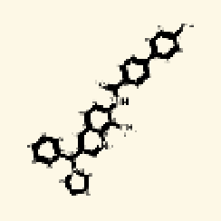 Cc1c(NC(=O)c2ccc(-c3ccc(F)cc3)cc2)ccc2cc(C(c3ccccc3)N3CCCC3)cnc12